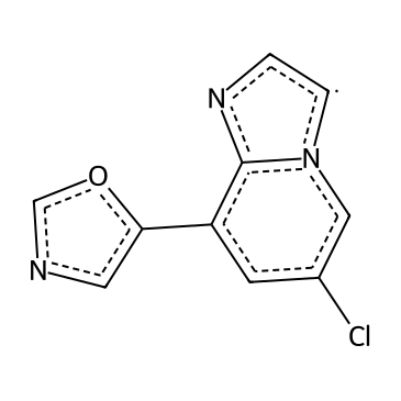 Clc1cc(-c2cnco2)c2nc[c]n2c1